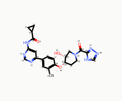 N#Cc1cc(-c2cc(NC(=O)C3CC3)ncn2)ccc1O[C@H]1CCN(C(=O)c2nnc[nH]2)C[C@H]1O